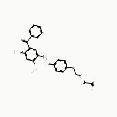 C=C(C)C(=O)NCCc1ccc(NNc2cc(C(=O)c3ccccc3)c(O)cc2OCC)cc1